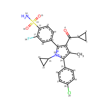 Cc1c(C(=O)C2CC2)c(-c2ccc(S(N)(=O)=O)c(F)c2)n(C2CC2)c1-c1ccc(Cl)cc1